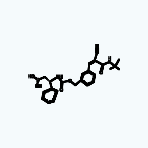 CC(C)(C)NC(=O)C(C#N)=Cc1cccc(COC(=O)N[C@@H](CB(O)O)c2ccccc2)c1